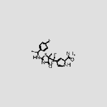 C[C@H](NC1=NC(=O)C(C)(C(F)(F)C2=CC(C(N)=O)NC=C2)S1)c1ccc(F)cc1